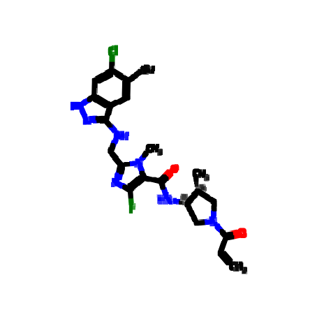 C=CC(=O)N1C[C@@H](C)[C@@H](NC(=O)c2c(F)nc(CNc3n[nH]c4cc(Cl)c(C(C)(C)C)cc34)n2C)C1